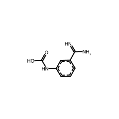 N=C(N)c1cccc(NC(=O)O)c1